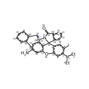 CCN(CC)c1cc2c(cc1C)C1(c3ccc(N)cc3O2)c2ccccc2C(=O)N1/N=C/c1ccccc1C